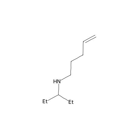 C=CCCCNC(CC)CC